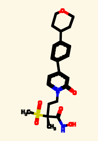 C[C@@](CCn1ccc(-c2ccc(C3CCOCC3)cc2)cc1=O)(C(=O)NO)S(C)(=O)=O